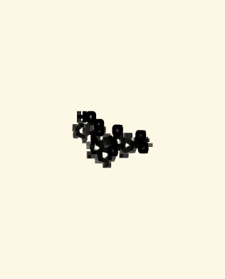 O=C(O)C1CCCCC1C(=O)N1CCc2ccccc2C1CN1C(=O)c2ccc([N+](=O)[O-])cc2C1=O